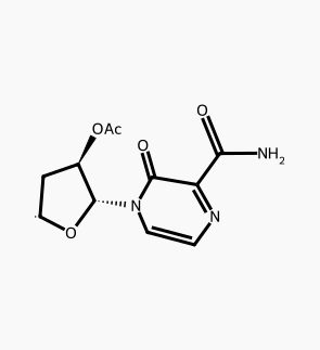 CC(=O)O[C@@H]1C[CH]O[C@H]1n1ccnc(C(N)=O)c1=O